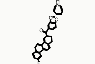 C1=CC=CNC=C1.O=C(c1ccc2c(c1)OCO2)C1C=c2c(ccc3c2=CCc2ccc(F)cc2-3)CC1